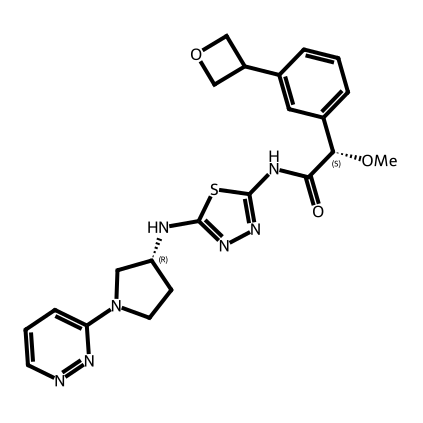 CO[C@H](C(=O)Nc1nnc(N[C@@H]2CCN(c3cccnn3)C2)s1)c1cccc(C2COC2)c1